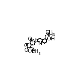 CC[C@@]1(O)C(=O)OCc2c1cc1n(c2=O)Cc2cc3c(CNC)c(O)ccc3nc2-1